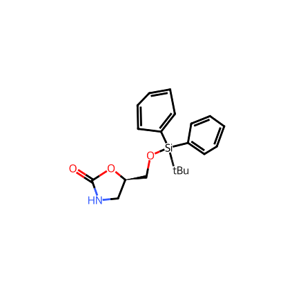 CC(C)(C)[Si](OC[C@H]1CNC(=O)O1)(c1ccccc1)c1ccccc1